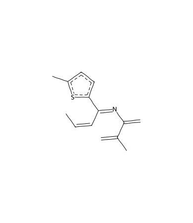 C=C(C)C(=C)/N=C(\C=C/C)c1ccc(C)s1